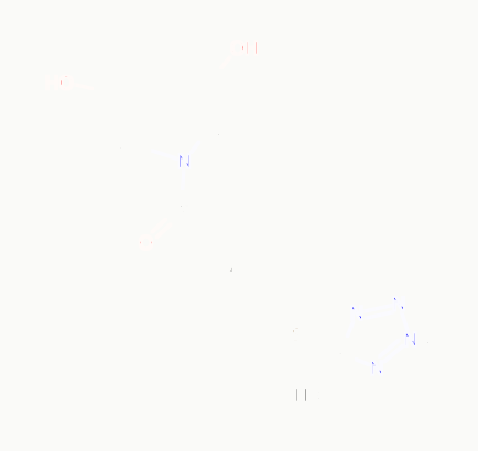 CC1(SCCCC(=O)N(CCO)CCO)N=NN=N1